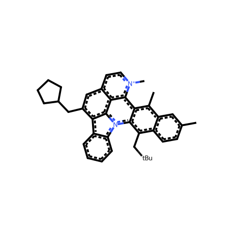 Cc1ccc2c(CC(C)(C)C)c3c(c(C)c2c1)c1c2c(cc[n+]1C)cc(CC1CCCC1)c1c4ccccc4n3c12